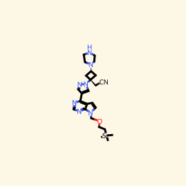 C[Si](C)(C)CCOCn1ccc2c(-c3cnn([C@]4(CC#N)C[C@H](N5CCNCC5)C4)c3)ncnc21